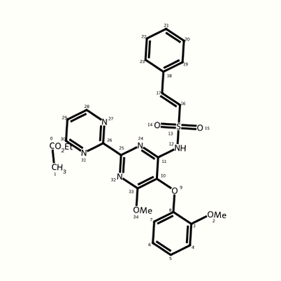 CCOC(C)=O.COc1ccccc1Oc1c(NS(=O)(=O)C=Cc2ccccc2)nc(-c2ncccn2)nc1OC